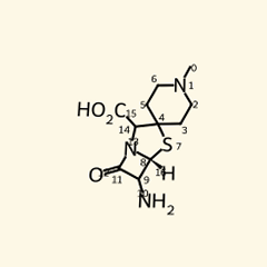 CN1CCC2(CC1)S[C@@H]1C(N)C(=O)N1C2C(=O)O